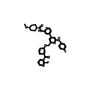 CO[C@H]1CC[C@@H](C(=O)Nc2cc(-c3cc(COc4cccc(C(=O)c5cccnc5F)c4)nc(Nc4ccc(F)cc4)c3)ccn2)CC1